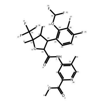 COC(=O)c1cc(NC(=O)C2OC(C)(C(F)(F)F)C(C)C2c2ccc(F)c(F)c2OC(F)F)c(C)cn1